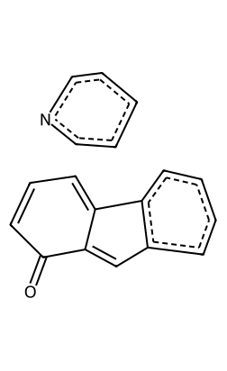 O=C1C=CC=C2C1=Cc1ccccc12.c1ccncc1